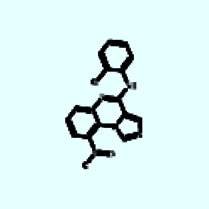 O=[N+]([O-])c1cccc2nc(Nc3ccccc3Cl)c3cncn3c12